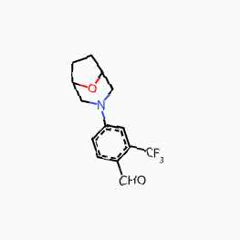 O=Cc1ccc(N2CC3CCC(C2)O3)cc1C(F)(F)F